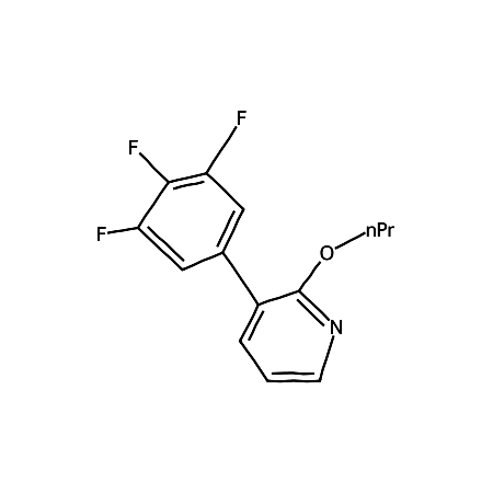 CCCOc1ncccc1-c1cc(F)c(F)c(F)c1